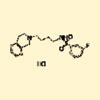 Cl.O=S(=O)(NCCCCN1CCc2ccccc2C1)c1cccc(F)c1